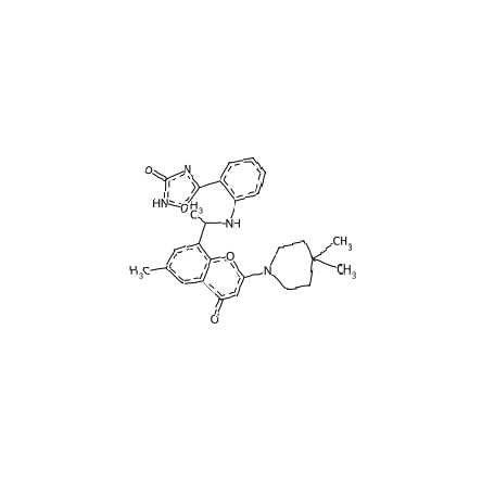 Cc1cc(C(C)Nc2ccccc2-c2nc(=O)[nH]o2)c2oc(N3CCC(C)(C)CC3)cc(=O)c2c1